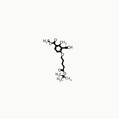 C#Cc1c(OCCCCC(=O)OC(C)(C)C)ccc(C(=O)OC)c1C